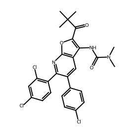 CN(C)C(=O)Nc1c(C(=O)C(C)(C)C)oc2nc(-c3ccc(Cl)cc3Cl)c(-c3ccc(Cl)cc3)cc12